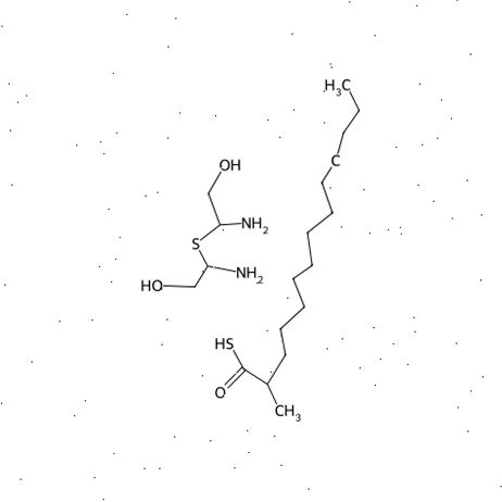 CCCCCCCCCCCCC(C)C(=O)S.NC(CO)SC(N)CO